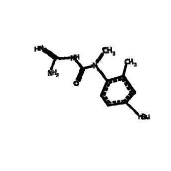 CCCCc1ccc(N(C)C(=O)NC(=N)N)c(C)c1